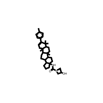 Cc1ccc(C2=CCC3(C)C(CCC4(C)C5CCC6(NC(=O)N7CC(O)C7)CCCC6C5CCC43)C2(C)C)cc1